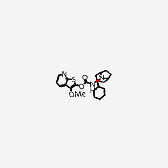 COc1c(OC(=O)NC2CC3CCC(C2)N3CC2CCCCC2)sc2ncccc12